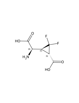 N[C@@H](C(=O)O)[C@@H]1[C@@H](C(=O)O)C1(F)F